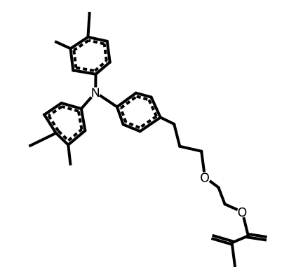 C=C(C)C(=C)OCCOCCCc1ccc(N(c2ccc(C)c(C)c2)c2ccc(C)c(C)c2)cc1